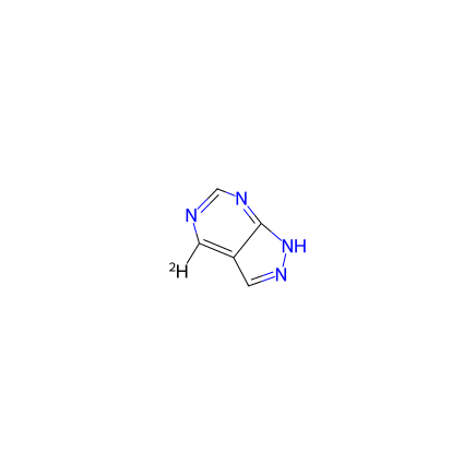 [2H]c1ncnc2[nH]ncc12